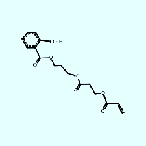 C=CC(=O)OCCC(=O)OCCCOC(=O)c1ccccc1C(=O)O